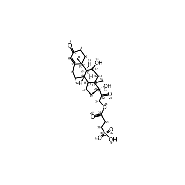 C[C@]12CCC(=O)C=C1CC[C@@H]1[C@@H]2C(O)C[C@@]2(C)[C@H]1CC[C@]2(O)C(=O)COC(=O)CCS(=O)(=O)O